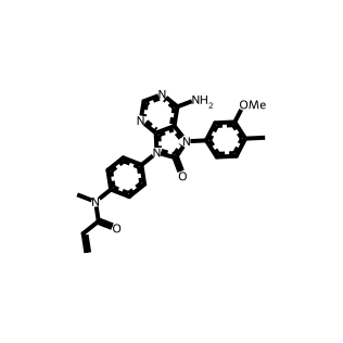 C=CC(=O)N(C)c1ccc(-n2c(=O)n(-c3ccc(C)c(OC)c3)c3c(N)ncnc32)cc1